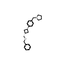 c1ccc(COC[C@H]2C[C@H](c3ccc(CN4CCCC4)cc3)C2)cc1